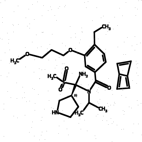 CCc1ccc(C(=O)N(C(C)C)C(N)([C@H]2CCNC2)S(C)(=O)=O)cc1OCCCOC.c1cc2ccc1-2